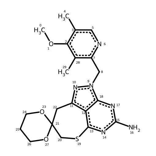 COc1c(C)cnc(Cn2nc3c4c(nc(N)nc42)SCC2(C3)OCCCO2)c1C